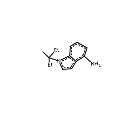 CCC(C)(CC)n1ccc2c(N)cccc21